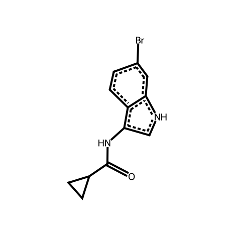 O=C(Nc1c[nH]c2cc(Br)ccc12)C1CC1